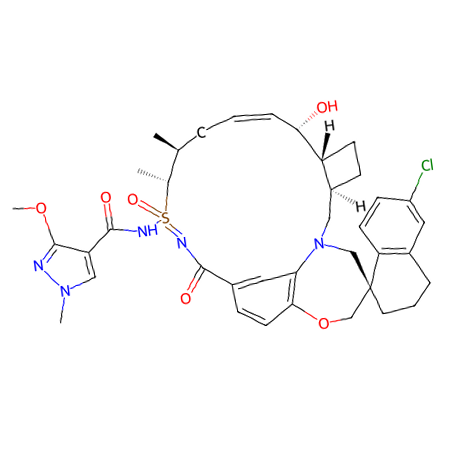 COc1nn(C)cc1C(=O)NS1(=O)=NC(=O)c2ccc3c(c2)N(C[C@@H]2CC[C@H]2[C@@H](O)/C=C\C[C@H](C)[C@H]1C)C[C@@]1(CCCc2cc(Cl)ccc21)CO3